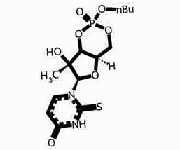 CCCCOP1(=O)OC[C@H]2O[C@@H](n3ccc(=O)[nH]c3=S)[C@](C)(O)C2O1